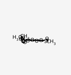 CC(=O)SCCOCCOCCOCCOCC1OCCC2OC(C)(C)OC12